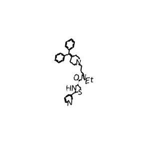 CCN(CCCN1CCC(=C(c2ccccc2)c2ccccc2)CC1)C(=O)[C@@H]1CSC(c2cccnc2)N1